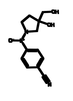 N#Cc1ccc([S+]([O-])N2CCC(O)(CO)C2)cc1